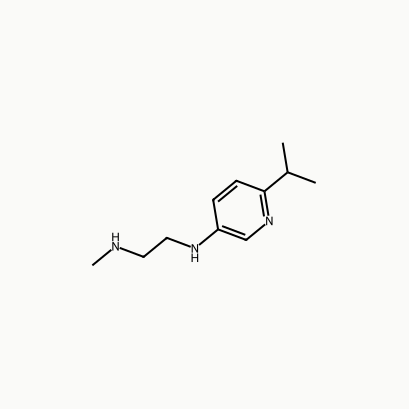 CNCCNc1ccc(C(C)C)nc1